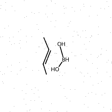 CC=CC.OBO